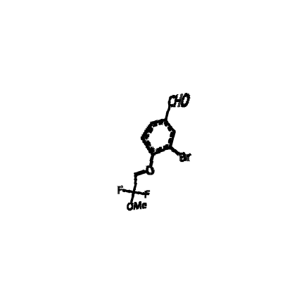 COC(F)(F)COc1ccc(C=O)cc1Br